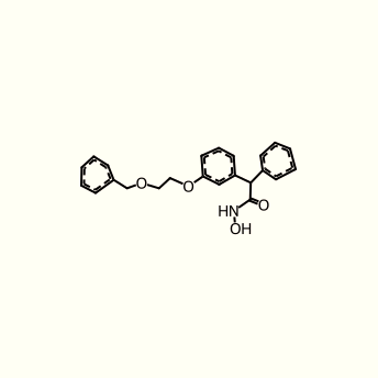 O=C(NO)C(c1ccccc1)c1cccc(OCCOCc2ccccc2)c1